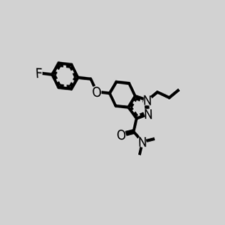 CCCn1nc(C(=O)N(C)C)c2c1CCC(OCc1ccc(F)cc1)C2